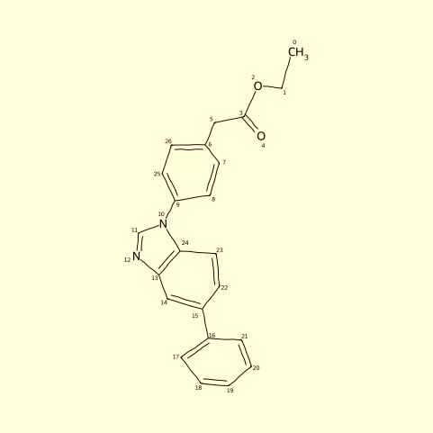 CCOC(=O)Cc1ccc(-n2cnc3cc(-c4ccccc4)ccc32)cc1